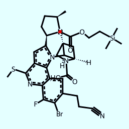 CSc1nc2c(F)c(Br)c(CCC#N)cc2c2c1cc([C@H]1CC[C@@H](C)N1C(=O)OCC[Si](C)(C)C)n2[C@H]1[C@@H]2C[C@H]1N(C(=O)O)C2